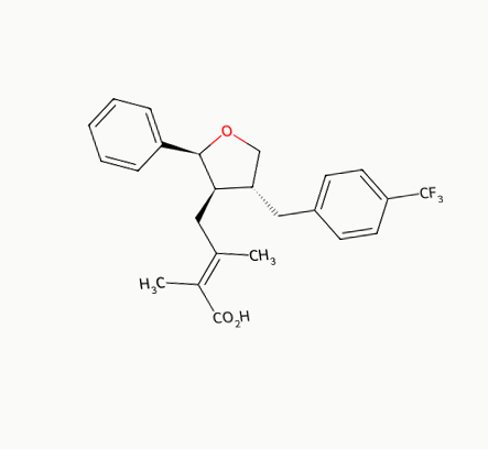 CC(C[C@@H]1[C@@H](Cc2ccc(C(F)(F)F)cc2)CO[C@@H]1c1ccccc1)=C(C)C(=O)O